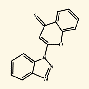 S=c1cc(-n2nnc3ccccc32)oc2ccccc12